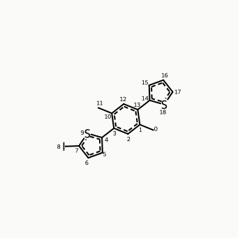 Cc1cc(-c2ccc(I)s2)c(C)cc1-c1cccs1